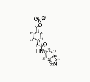 O=C(Cc1ccc(CO[N+](=O)[O-])cc1)Nc1ccc2cnsc2c1